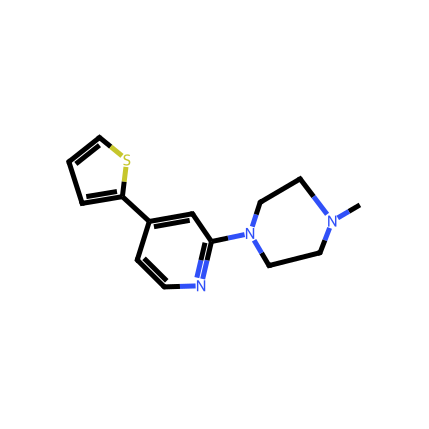 CN1CCN(c2cc(-c3cccs3)ccn2)CC1